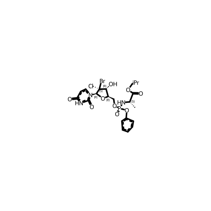 CC(C)OC(=O)[C@H](C)NP(=O)(OC[C@H]1O[C@@H](n2ccc(=O)[nH]c2=O)[C@@](Cl)(Br)[C@@H]1O)Oc1ccccc1